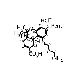 CCCCCc1cc(OCCCN)c2c(c1)OC(C)(C)[C@@H]1CC=C(C(=O)O)C[C@@H]21.Cl